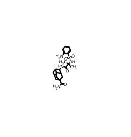 CC(C)(NS(=O)(=O)c1ccccc1N)C(=O)NC1C2CC3CC1CC(C(N)=O)(C3)C2